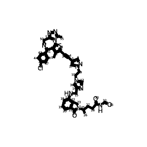 Cc1c(C#Cc2cnn(CCn3cnc(CNc4cccc5c4CN(C(C)CCC(=O)NC=O)C5=O)c3)c2)sc2c1C(c1ccc(Cl)cc1)=NCc1nnc(C)n1-2